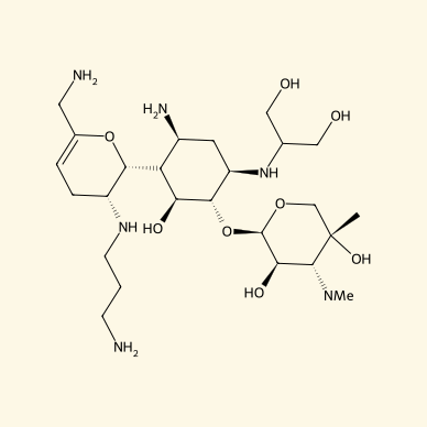 CN[C@@H]1[C@@H](O)[C@@H](O[C@H]2[C@H](NC(CO)CO)C[C@H](N)C([C@H]3OC(CN)=CC[C@H]3NCCCN)[C@@H]2O)OC[C@]1(C)O